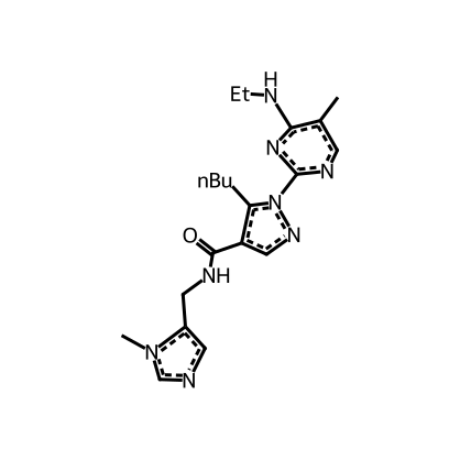 CCCCc1c(C(=O)NCc2cncn2C)cnn1-c1ncc(C)c(NCC)n1